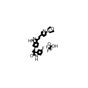 O=C(O)C(F)(F)F.O=C1Nc2ccc(F)cc2[C@]12C[C@H]2c1ccc2c(C=Cc3ccc(N4CCOCC4)nc3)n[nH]c2c1